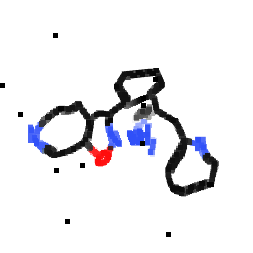 N[C@@H](Cc1ccccn1)c1ccccc1-c1noc2cnccc12